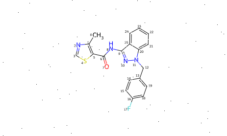 Cc1ncsc1C(=O)Nc1nn(Cc2ccc(F)cc2)c2ccccc12